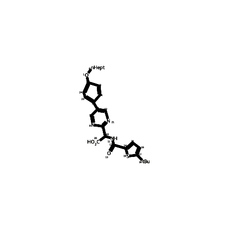 CCCCCCCOc1ccc(-c2cnc(C(NC(=O)c3ccc(C(C)(C)C)s3)C(=O)O)nc2)cc1